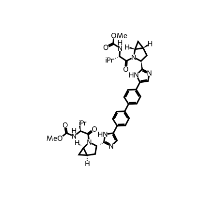 COC(=O)N[C@H](C(=O)N1[C@@H]2C[C@@H]2C[C@H]1c1ncc(-c2ccc(-c3ccc(-c4cnc([C@@H]5C[C@H]6C[C@H]6N5C(=O)[C@@H](NC(=O)OC)C(C)C)[nH]4)cc3)cc2)[nH]1)C(C)C